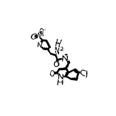 CN(Cc1cc(=O)[nH]c2ccc(Cl)cc12)C(=O)[C@@H](N)Cc1ccc([N+](=O)[O-])nc1